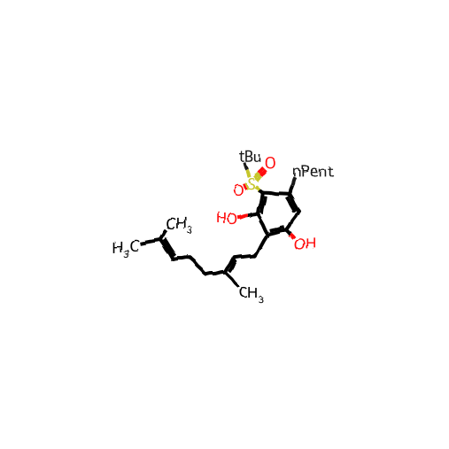 CCCCCc1cc(O)c(C/C=C(\C)CCC=C(C)C)c(O)c1S(=O)(=O)C(C)(C)C